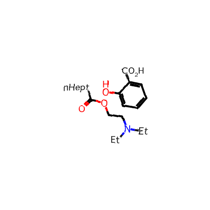 CCCCCCCC(=O)OCCN(CC)CC.O=C(O)c1ccccc1O